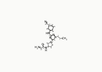 CCCc1cc(N2CCC(NC(=O)CN)C2)nc(Nc2cccc(C#N)c2)n1